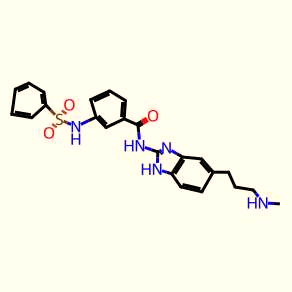 CNCCCc1ccc2[nH]c(NC(=O)c3cccc(NS(=O)(=O)c4ccccc4)c3)nc2c1